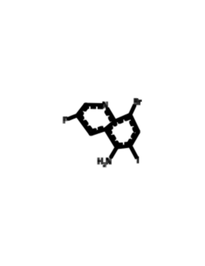 Nc1c(I)cc(Br)c2ncc(F)cc12